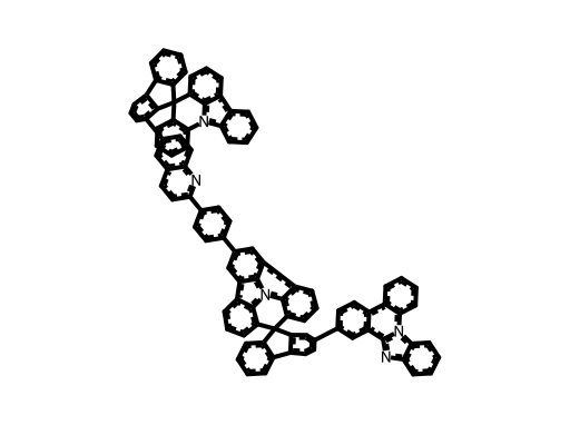 c1ccc2c(c1)-c1cccc(-c3ccc4nc(-c5ccc(-c6cc7c8cccc9c8n8c%10c(cccc%10c(c6)c78)C96c7ccccc7-c7ccc(-c8ccc9c%10ccccc%10n%10c%11ccccc%11nc%10c9c8)cc76)cc5)ccc4c3)c1C21c2ccccc2-n2c3ccccc3c3cccc1c32